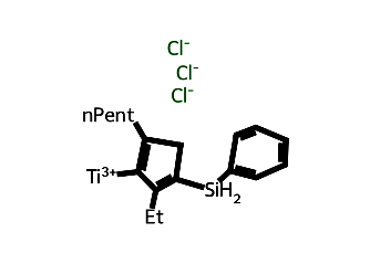 CCCCCC1=[C]([Ti+3])C(CC)=C([SiH2]c2ccccc2)C1.[Cl-].[Cl-].[Cl-]